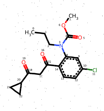 CCCN(C(=O)OC)c1cc(Cl)ccc1C(=O)CC(=O)C1CC1